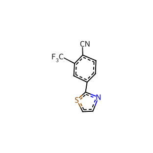 N#Cc1ccc(-c2nccs2)cc1C(F)(F)F